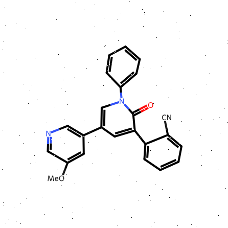 COc1cncc(-c2cc(-c3ccccc3C#N)c(=O)n(-c3ccccc3)c2)c1